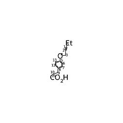 CCC#CCOc1ccc(CCC(=O)O)cc1